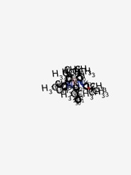 CC(C)(C)c1ccc(N2c3ccc(C(C)(C)C)cc3B3c4c2cc(C(C)(C)c2ccccc2)cc4-n2c4c(c5cc(C(C)(C)C)cc3c52)CC(C(C)(C)C)C=C4)cc1